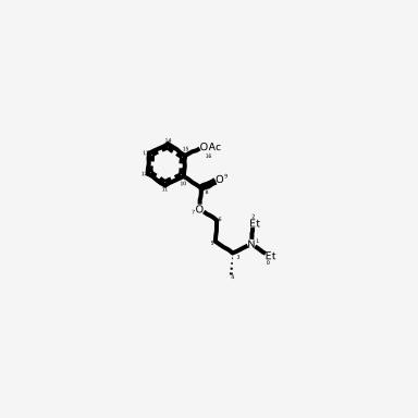 CCN(CC)[C@H](C)CCOC(=O)c1ccccc1OC(C)=O